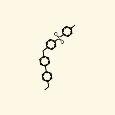 CCc1ccc(-c2ccc(Cc3ccc(S(=O)(=O)c4ccc(C)cc4)cc3)cc2)cc1